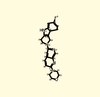 FC1=CCC2C(=C1)NC1=C2CN(c2cc3ccc(N4CCOCC4)nc3cn2)CC1